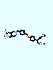 C=C/C=C1/CN(Cc2ccc(COc3ccc(C(C#CC)CC=O)cc3)cc2)CC/C1=C/C